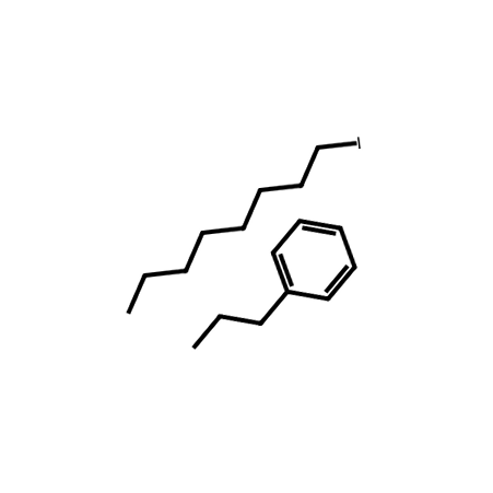 CCCCCCCCI.CCCc1ccccc1